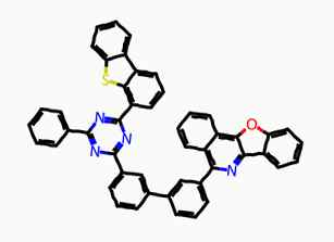 c1ccc(-c2nc(-c3cccc(-c4cccc(-c5nc6c7ccccc7oc6c6ccccc56)c4)c3)nc(-c3cccc4c3sc3ccccc34)n2)cc1